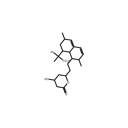 CCC(C)(C(=O)O)C1CC(C)C=C2C=CC(C)C(CCC3CC(O)CC(=O)O3)C21